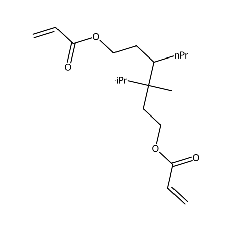 [CH2]CCC(CCOC(=O)C=C)C(C)(CCOC(=O)C=C)[C](C)C